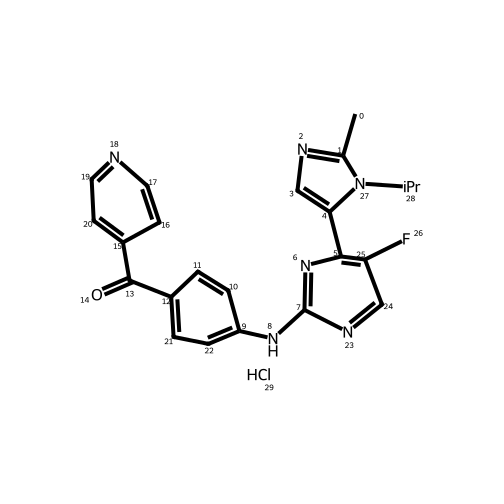 Cc1ncc(-c2nc(Nc3ccc(C(=O)c4ccncc4)cc3)ncc2F)n1C(C)C.Cl